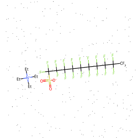 CC[N+](CC)(CC)CC.O=S(=O)([O-])C(F)(F)C(F)(F)C(F)(F)C(F)(F)C(F)(F)C(F)(F)C(F)(F)C(F)(F)C(F)(F)C(F)(F)F